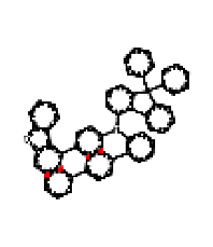 c1ccc(-c2ccc(-c3ccccc3N(c3ccc(-c4cccc5oc6ccccc6c45)cc3)c3cccc4c3-c3ccccc3C4(c3ccccc3)c3ccccc3)cc2)cc1